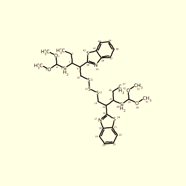 CCC([SiH2]C(OC)OC)C(CSSSCC(c1nc2ccccc2s1)C(CC)[SiH2]C(OC)OC)c1nc2ccccc2s1